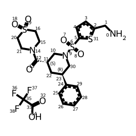 NCc1ccc(S(=O)(=O)N2C[C@@H](C(=O)N3CCS(=O)(=O)CC3)C[C@H](c3ccccc3)C2)s1.O=C(O)C(F)(F)F